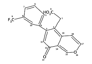 O=C(O)Cc1c(-c2cccc(C(F)(F)F)c2)cc(=O)c2coccc1-2